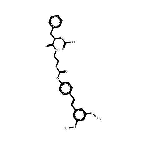 COc1cc(C=Cc2ccc(OC(=O)OCCNC(=O)C(Cc3ccccc3)NC(=O)O)cc2)cc(OC)c1